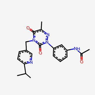 CC(=O)Nc1cccc(-n2nc(C)c(=O)n(Cc3ccc(C(C)C)nc3)c2=O)c1